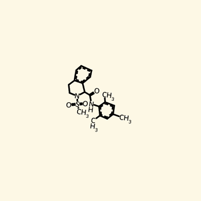 Cc1cc(C)c(NC(=O)C2c3ccccc3CCN2S(C)(=O)=O)c(C)c1